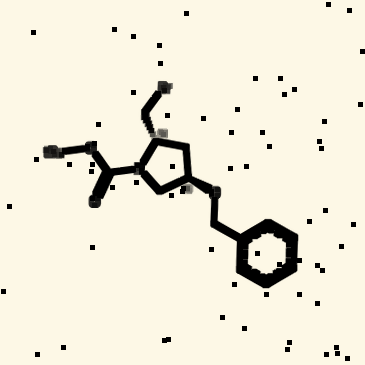 CC(C)(C)OC(=O)N1C[C@H](OCc2ccccc2)C[C@H]1CBr